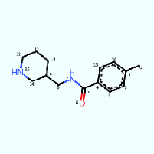 Cc1ccc(C(=O)NCC2CCCNC2)cc1